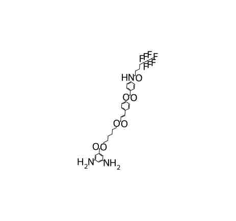 Nc1cc(N)cc(C(=O)OCCCCCCOC(=O)C=Cc2ccc(OC(=O)c3ccc(NC(=O)CCCC(F)(F)C(F)(F)C(F)(F)F)cc3)cc2)c1